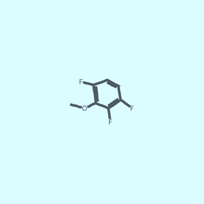 COc1c(F)c[c]c(F)c1F